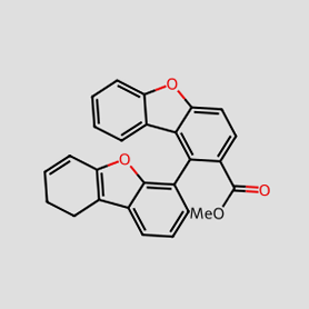 COC(=O)c1ccc2oc3ccccc3c2c1-c1cccc2c3c(oc12)C=CCC3